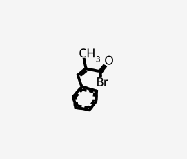 CC(=Cc1ccccc1)C(=O)Br